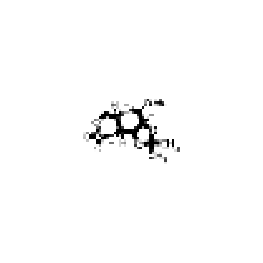 CO[C@H]1O[C@@H]2COS(=O)(=O)O[C@H]2C2OC(C)(C)O[C@H]21